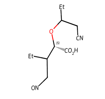 CCC(CC#N)O[C@H](C(=O)O)C(CC)CN=O